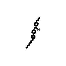 CCCCCCCCc1ccc([C@H]2CC[C@H](CC(C#N)[C@H]3CC[C@H](CCCC)CC3)CC2)cc1